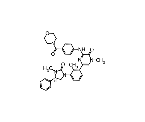 Cc1c(-c2cn(C)c(=O)c(Nc3ccc(C(=O)N4CCOCC4)cc3)n2)cccc1N1C[C@@H](c2ccccc2)N(C)C1=O